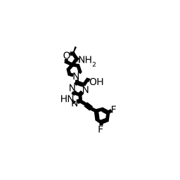 C[C@@H]1OCC2(CCN(c3nc4[nH]nc(C#Cc5cc(F)cc(F)c5)c4nc3CO)CC2)[C@@H]1N